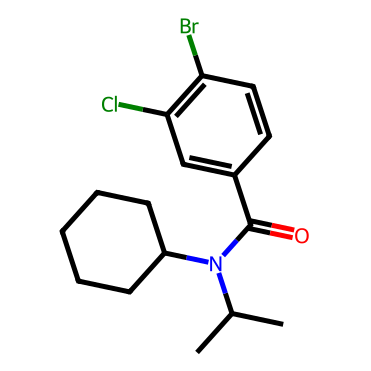 CC(C)N(C(=O)c1ccc(Br)c(Cl)c1)C1CCCCC1